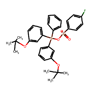 CC(C)(C)Oc1cccc(S(OS(=O)(=O)c2ccc(F)cc2)(c2ccccc2)c2cccc(OC(C)(C)C)c2)c1